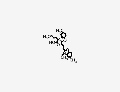 CCCCC(C(=O)O)[n+]1c(C=CC=C2Oc3ccc(C)cc3N2CC)oc2ccc(C)cc21